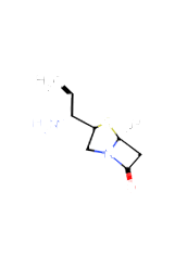 C=C[C@@H](N)C1CN2C(=O)C[C@@H]2S1